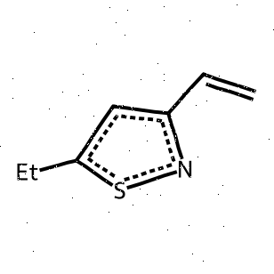 C=Cc1cc(CC)sn1